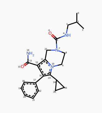 CC(C)CNC(=O)N1CCn2c(c(C(N)=O)c(-c3ccccc3)c2C2CC2)C1